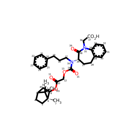 CC1(C)C2CC[C@]1(C)C(OC(=O)COC(=O)N(CCCc1ccccc1)[C@H]1CCc3ccccc3N(CC(=O)O)C1=O)C2